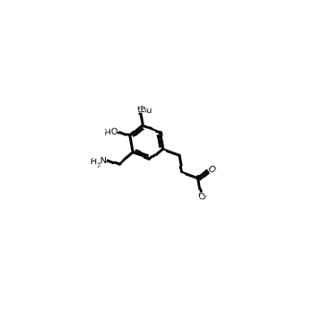 CC(C)(C)c1cc(CCC([O])=O)cc(CN)c1O